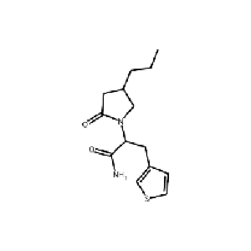 CCCC1CC(=O)N(C(Cc2ccsc2)C(N)=O)C1